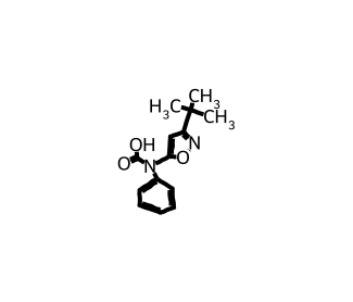 CC(C)(C)c1cc(N(C(=O)O)c2ccccc2)on1